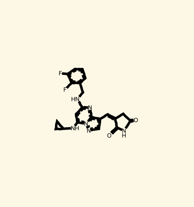 O=C1CC(=Cc2cnn3c(NC4CC4)cc(NCc4cccc(F)c4F)nc23)C(=O)N1